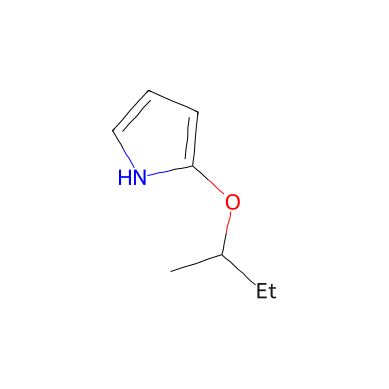 CCC(C)Oc1ccc[nH]1